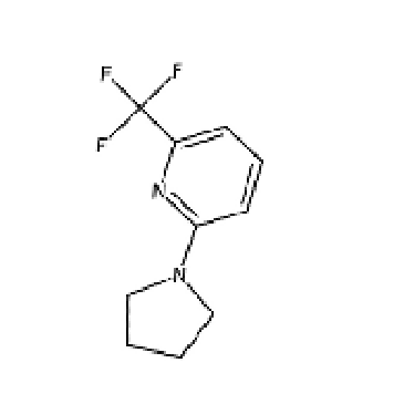 FC(F)(F)c1cccc(N2CCCC2)n1